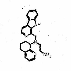 NCCN(Cc1nccc2c1[nH]c1ccccc12)C1CCCc2cccnc21